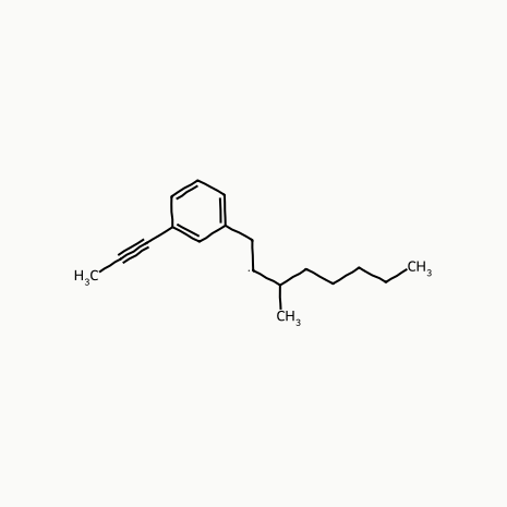 CC#Cc1cccc(C[CH]C(C)CCCCC)c1